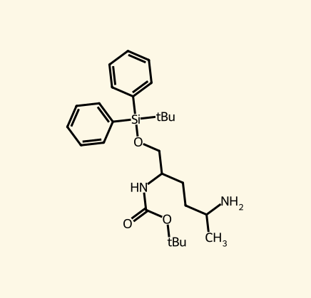 CC(N)CCC(CO[Si](c1ccccc1)(c1ccccc1)C(C)(C)C)NC(=O)OC(C)(C)C